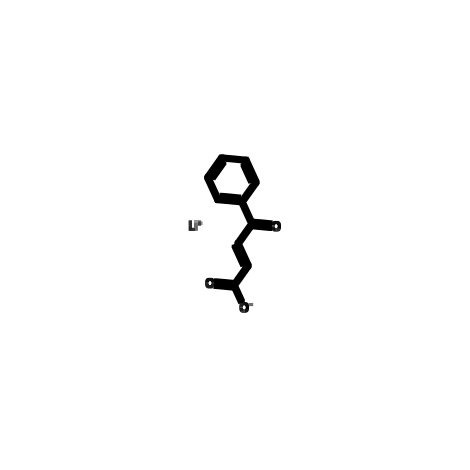 O=C([O-])C=CC(=O)c1ccccc1.[Li+]